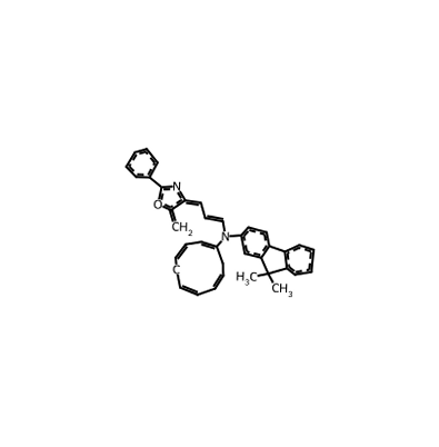 C=c1oc(-c2ccccc2)n/c1=C/C=C/N(/C1=C/C=C\C/C=C\C=C/C1)c1ccc2c(c1)C(C)(C)c1ccccc1-2